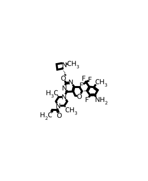 C=CC(=O)N1C[C@H](C)N(c2nc(OC[C@@H]3CCCN3C)nc3c2CO[C@@H](c2c(F)c(N)cc(C)c2C(F)(F)F)C3)C[C@H]1C